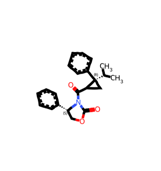 CC(C)[C@]1(c2ccccc2)CC1C(=O)N1C(=O)OC[C@@H]1c1ccccc1